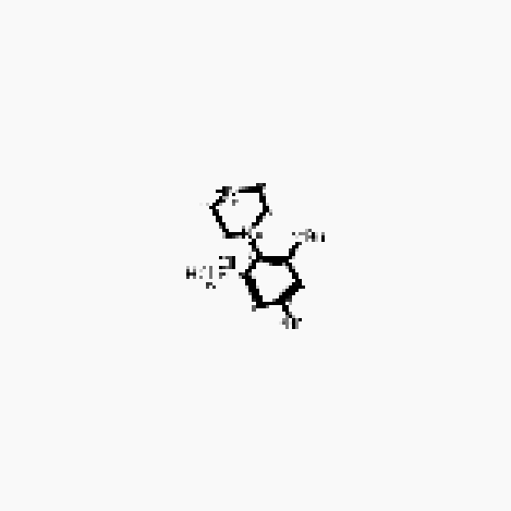 CC(C)(C)c1cc(Br)ccc1N1CCNCC1.Cl.Cl